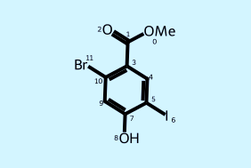 COC(=O)c1cc(I)c(O)cc1Br